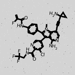 C=C(F)C(=O)Nc1ccc(-c2c(-c3cnc(C(=O)NCC(F)(F)F)c(Cl)c3)c3c(N)ncc(C#CC4(N)CC4)c3n2C)cc1